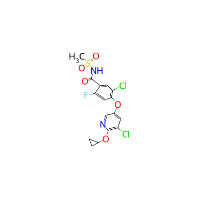 CS(=O)(=O)NC(=O)c1cc(Cl)c(Oc2cnc(OC3CC3)c(Cl)c2)cc1F